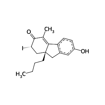 CCCC[C@]12Cc3cc(O)ccc3C1=C(C)C(=O)[C@@H](I)C2